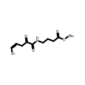 CC/C=C\CC(=O)C(=O)NCCCC(=O)OC(C)(C)C